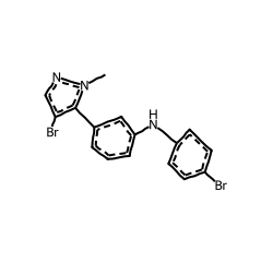 Cn1ncc(Br)c1-c1cccc(Nc2ccc(Br)cc2)c1